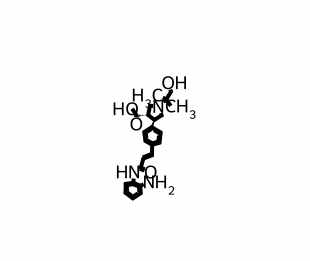 CC(C)(CO)N1C[C@@H](C(=O)O)[C@H](c2ccc(C=CC(=O)Nc3ccccc3N)cc2)C1